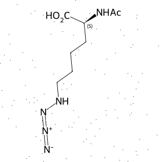 CC(=O)N[C@@H](CCCCNN=[N+]=[N-])C(=O)O